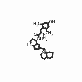 Cc1cc(O)cc(C)c1C[C@H](N)C(=O)N[C@@H]1CCNc2ccc(CN3CCC[C@H]4CCCC[C@@H]43)cc21